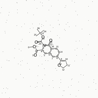 COC(=O)c1cc2cc(C3=CCCO3)ccc2c(=O)n1C(=O)OC(C)(C)C